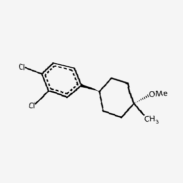 CO[C@]1(C)CC[C@@H](c2ccc(Cl)c(Cl)c2)CC1